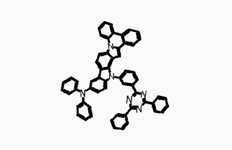 c1ccc(-c2nc(-c3ccccc3)nc(-c3cccc(-n4c5ccc(N(c6ccccc6)c6ccccc6)cc5c5ccc6c(cc7c8ccccc8c8ccccc8n76)c54)c3)n2)cc1